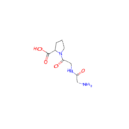 NCC(=O)NCC(=O)N1CCCC1C(=O)O